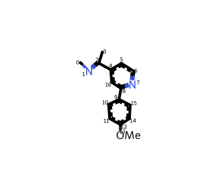 CN=C(C)c1ccnc(-c2ccc(OC)cc2)c1